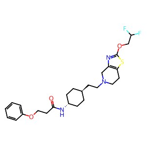 O=C(CCOc1ccccc1)N[C@H]1CC[C@H](CCN2CCc3sc(OCC(F)F)nc3C2)CC1